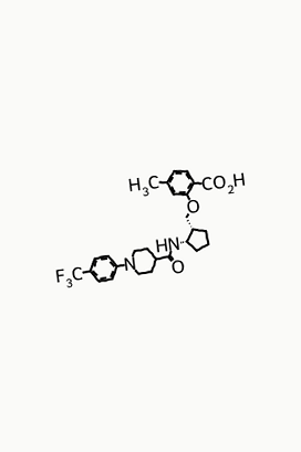 Cc1ccc(C(=O)O)c(OC[C@@H]2CCC[C@@H]2NC(=O)C2CCN(c3ccc(C(F)(F)F)cc3)CC2)c1